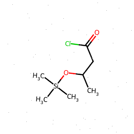 CC(CC(=O)Cl)O[Si](C)(C)C